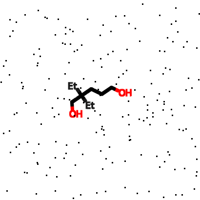 CCC(CC)(CO)CCCO